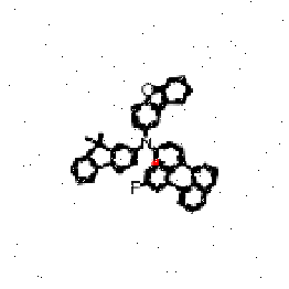 CC1(C)c2ccccc2-c2ccc(N(c3ccc(-c4cccc5cccc(-c6cccc(F)c6)c45)cc3)c3ccc4oc5ccccc5c4c3)cc21